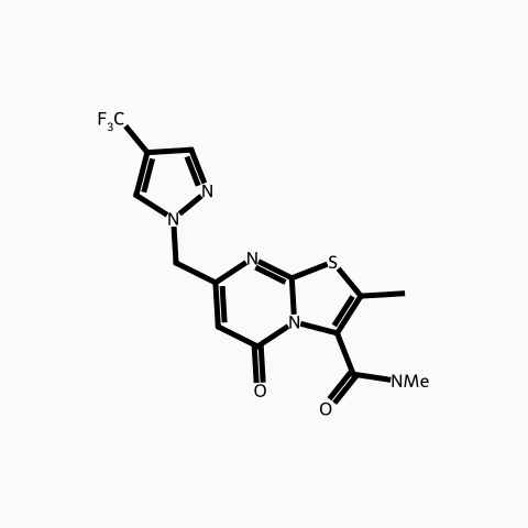 CNC(=O)c1c(C)sc2nc(Cn3cc(C(F)(F)F)cn3)cc(=O)n12